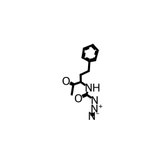 CC(=O)C(CCc1ccccc1)NC(=O)N=[N+]=[N-]